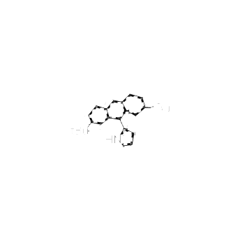 CC(C)(C)c1ccc2cc3ccc(C(C)(C)C)cc3c(-c3ccc[nH]3)c2c1